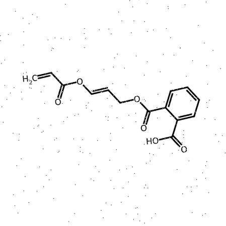 C=CC(=O)OC=CCOC(=O)c1ccccc1C(=O)O